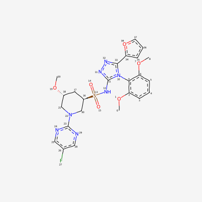 COc1cccc(OC)c1-n1c(NS(=O)(=O)[C@@H]2C[C@@H](OC)CN(c3ncc(F)cn3)C2)nnc1-c1ccco1